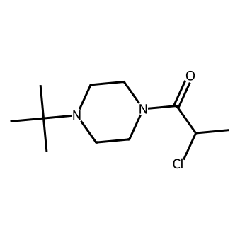 CC(Cl)C(=O)N1CCN(C(C)(C)C)CC1